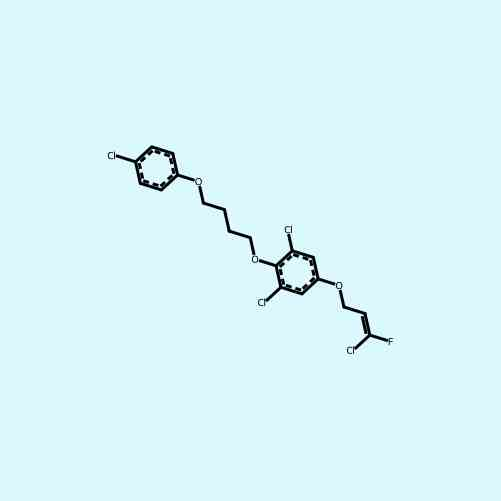 FC(Cl)=CCOc1cc(Cl)c(OCCCCOc2ccc(Cl)cc2)c(Cl)c1